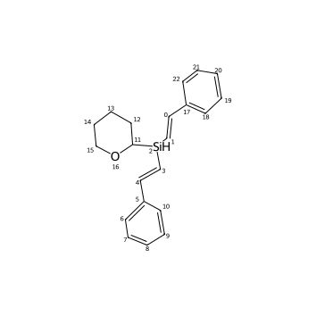 C(=C[SiH](C=Cc1ccccc1)C1CCCCO1)c1ccccc1